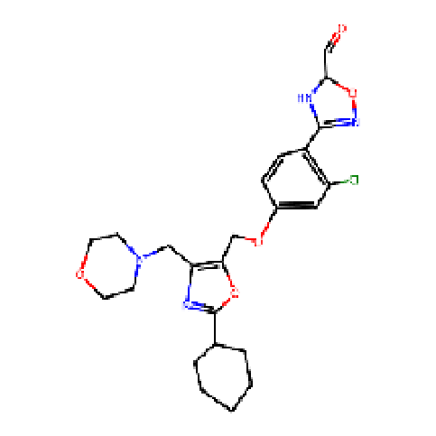 O=CC1NC(c2ccc(OCc3oc(C4CCCCC4)nc3CN3CCOCC3)cc2Cl)=NO1